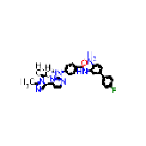 Cc1ncc(-c2ccnc(Nc3ccc(C(=O)Nc4cc(-c5ccc(F)cc5)ccc4N)cc3)n2)n1C(C)C